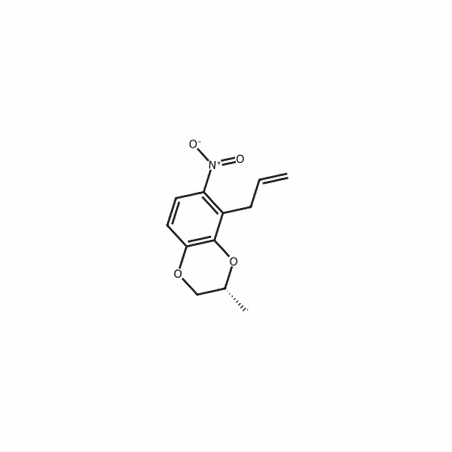 [CH2][C@@H]1COc2ccc([N+](=O)[O-])c(CC=C)c2O1